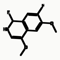 COC1=CNC(F)c2cc(F)c(OC)cc21